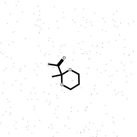 CC1(C(=O)I)OCCCO1